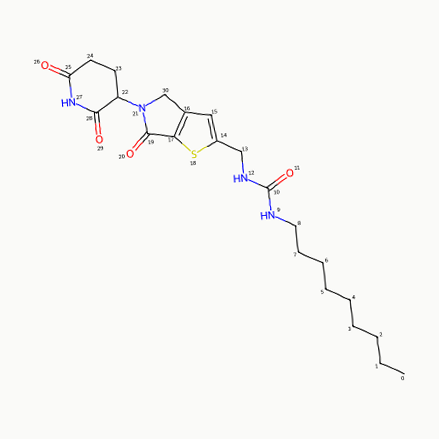 CCCCCCCCCNC(=O)NCc1cc2c(s1)C(=O)N(C1CCC(=O)NC1=O)C2